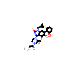 C=CC(=O)N1CCN2c3nc(=O)n(CC4CC4)c4cc(-c5c(O)cccc5F)c(Cl)c(c34)OC[C@@H]2C1